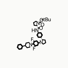 CC(C)(C)OC(=O)N1CCC[C@H]1C(=O)Nc1ccc([C@@H]2CCCN2c2cc(F)c(N3CCC(c4ccccc4)CC3)c(F)c2)cc1